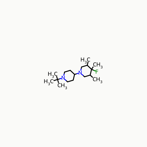 CC1CN(C2CCN(C(C)(C)C)CC2)CC(C)C1(C)F